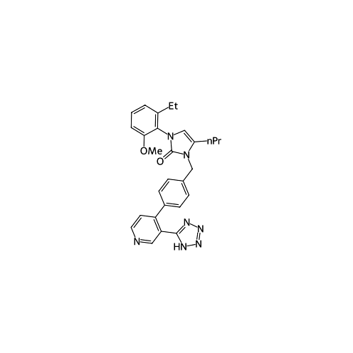 CCCc1cn(-c2c(CC)cccc2OC)c(=O)n1Cc1ccc(-c2ccncc2-c2nnn[nH]2)cc1